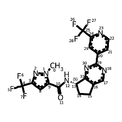 Cn1nc(C(F)(F)F)cc1C(=O)N[C@H]1CCc2cnc(-c3ccnc(C(F)(F)F)c3)nc21